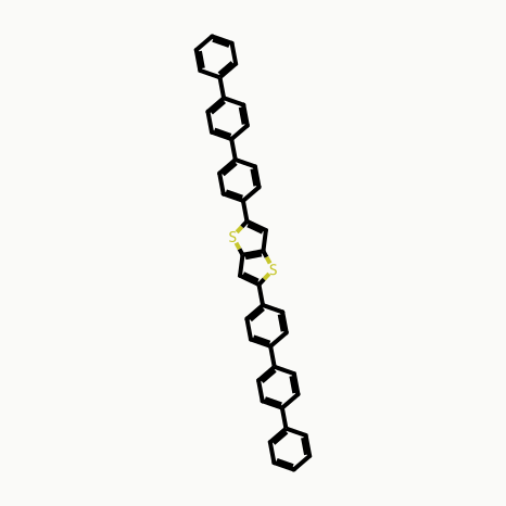 c1ccc(-c2ccc(-c3ccc(-c4cc5sc(-c6ccc(-c7ccc(-c8ccccc8)cc7)cc6)cc5s4)cc3)cc2)cc1